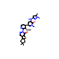 Cc1cc(Nc2cc(-c3ccnc(-n4ncc5c6c(sc5c4=O)CC(C)(C)C6)c3C=O)cn(C)c2=O)nn1C